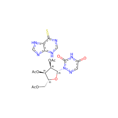 CC(=O)OC[C@H]1O[C@@H](n2ncc(=O)[nH]c2=O)[C@H](OC(C)=O)[C@@H]1OC(C)=O.S=c1nc[nH]c2nc[nH]c12